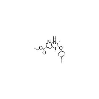 CCOC(=O)c1cnc(N[C@H](C)COc2ccc(I)cc2)c(I)c1